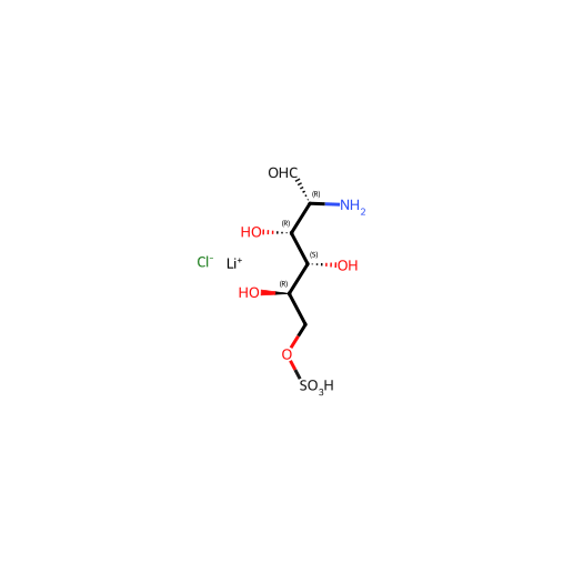 N[C@@H](C=O)[C@@H](O)[C@H](O)[C@H](O)COS(=O)(=O)O.[Cl-].[Li+]